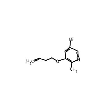 C=CCCOc1cc(Br)cnc1C